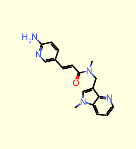 CN(Cc1cn(C)c2cccnc12)C(=O)C=Cc1ccc(N)nc1